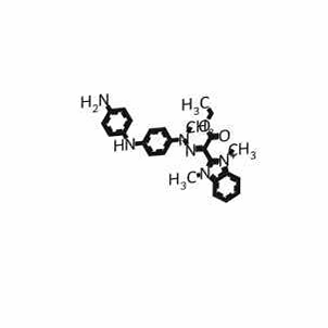 CCOC(=O)/C(=N\N(C)c1ccc(Nc2ccc(N)cc2)cc1)c1n(C)c2ccccc2[n+]1C